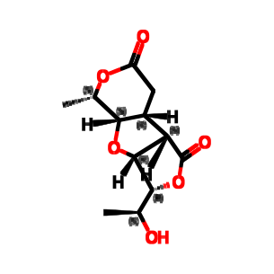 C[C@H](O)[C@H]1OC(=O)[C@H]2[C@H]3CC(=O)O[C@@H](C)[C@H]3O[C@@H]12